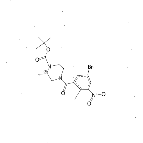 Cc1c(C(=O)N2CCN(C(=O)OC(C)(C)C)[C@@H](C)C2)cc(Br)cc1[N+](=O)[O-]